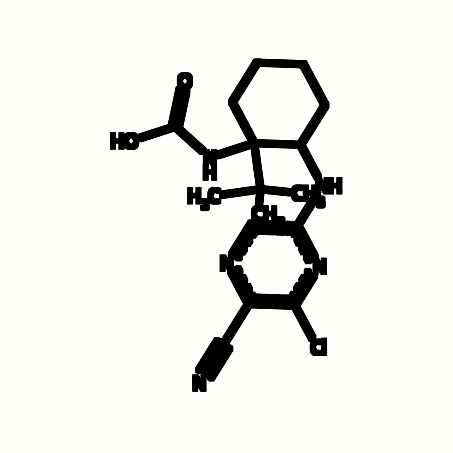 CC(C)(C)C1(NC(=O)O)CCCCC1Nc1cnc(C#N)c(Cl)n1